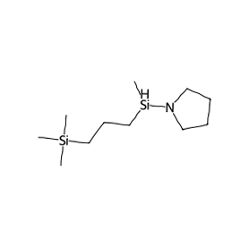 C[SiH](CCC[Si](C)(C)C)N1CCCC1